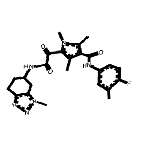 Cc1cc(NC(=O)c2c(C)c(C(=O)C(=O)NC3CCc4nnn(C)c4C3)n(C)c2C)ccc1F